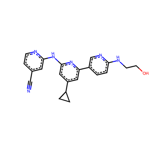 N#Cc1ccnc(Nc2cc(C3CC3)cc(-c3ccc(NCCO)nc3)n2)c1